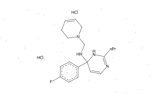 CCCC1=NC=CC(NCN2CC=CCC2)(c2ccc(F)cc2)N1.Cl.Cl